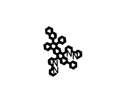 c1ccc(-c2ccc3c(-c4cccc(-c5ccccn5)n4)c4cc5c(cc4c(-c4cccc(-c6ccccn6)n4)c3c2)c(-c2ccccc2)c(-c2ccc3ccccc3c2)c2ccccc25)cc1